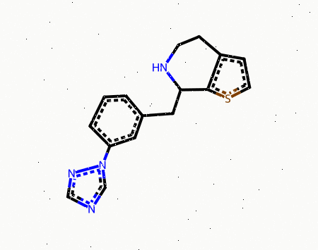 c1cc(CC2NCCc3ccsc32)cc(-n2cncn2)c1